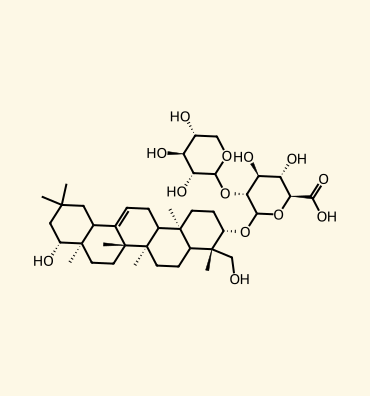 CC1(C)CC2C3=CCC4[C@@]5(C)CC[C@H](OC6O[C@H](C(=O)O)[C@@H](O)[C@H](O)[C@H]6OC6OC[C@@H](O)[C@H](O)[C@H]6O)[C@](C)(CO)C5CC[C@@]4(C)[C@]3(C)CC[C@@]2(C)[C@H](O)C1